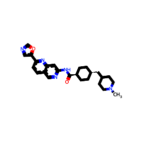 CN1CCC(C[C@H]2CC[C@H](C(=O)Nc3cc4nc(-c5cnco5)ccc4cn3)CC2)CC1